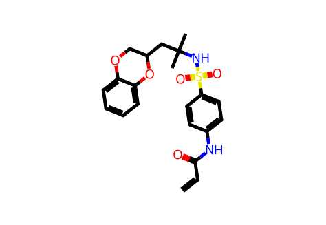 C=CC(=O)Nc1ccc(S(=O)(=O)NC(C)(C)CC2COc3ccccc3O2)cc1